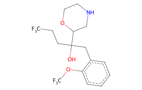 OC(CCC(F)(F)F)(Cc1ccccc1OC(F)(F)F)C1CNCCO1